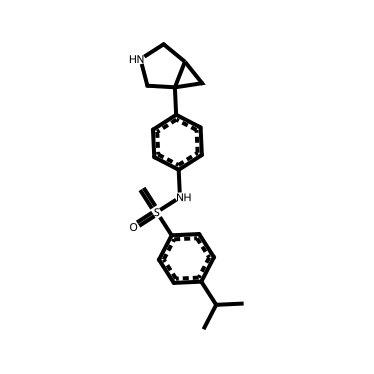 C=S(=O)(Nc1ccc(C23CNCC2C3)cc1)c1ccc(C(C)C)cc1